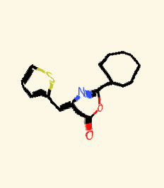 O=C1OC(C2CCCCC2)=NC1=Cc1cccs1